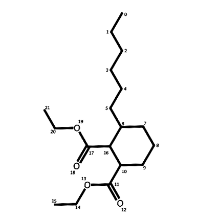 CCCCCCC1CCCC(C(=O)OCC)C1C(=O)OCC